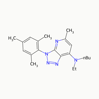 CCCCN(CC)c1cc(C)nc2c1nnn2-c1c(C)cc(C)cc1C